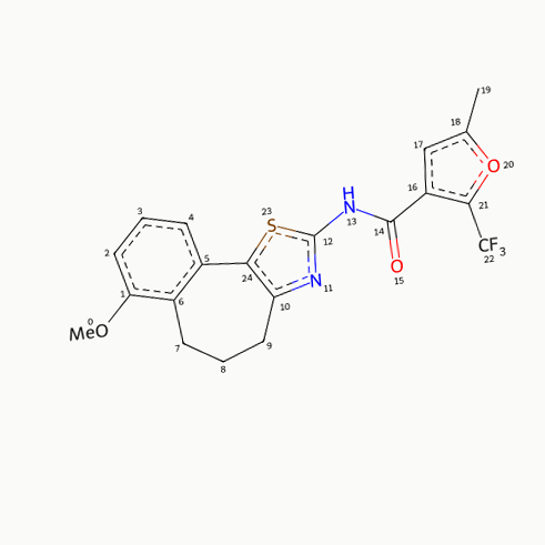 COc1cccc2c1CCCc1nc(NC(=O)c3cc(C)oc3C(F)(F)F)sc1-2